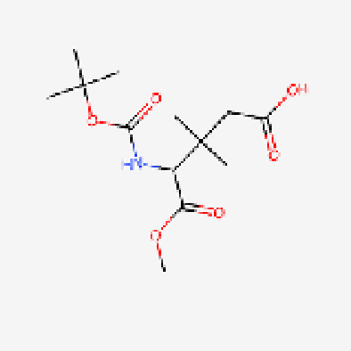 COC(=O)C(NC(=O)OC(C)(C)C)C(C)(C)CC(=O)O